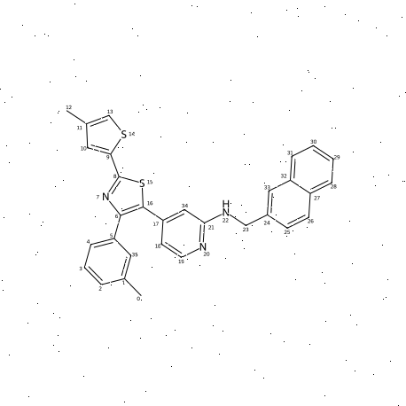 Cc1cccc(-c2nc(-c3cc(C)cs3)sc2-c2ccnc(NCc3ccc4ccccc4c3)c2)c1